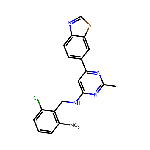 Cc1nc(NCc2c(Cl)cccc2[N+](=O)[O-])cc(-c2ccc3ncsc3c2)n1